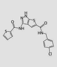 O=C(Nc1n[nH]c2sc(C(=O)NCc3ccc(Cl)cc3)cc12)c1cccs1